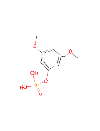 COc1cc(OC)cc(OP(=O)(O)O)c1